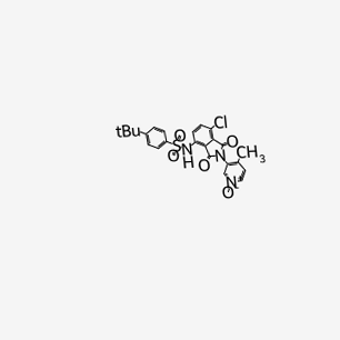 Cc1cc[n+]([O-])cc1N1C(=O)c2c(Cl)ccc(NS(=O)(=O)c3ccc(C(C)(C)C)cc3)c2C1=O